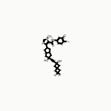 Cn1cnc(C2CC3CC(O)(C#CC4(O)CC5(CC(F)(F)C5)C4)CC3C2)c1C(=O)Nc1ccc(F)c(Cl)c1